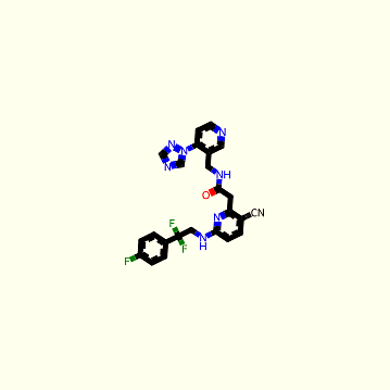 N#Cc1ccc(NCC(F)(F)c2ccc(F)cc2)nc1CC(=O)NCc1cnccc1-n1cncn1